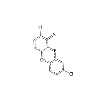 S=c1c(Cl)ccc2oc3ccc(Cl)cc3pc1-2